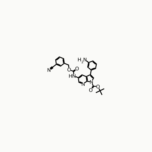 CC(C)(C)OC(=O)n1cc(-c2cccc(N)c2)c2cc(NC(=O)OCc3cccc(C#N)c3)cnc21